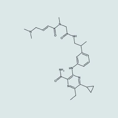 CCc1nc(C(N)=O)c(Nc2cccc(C(C)CNC(=O)CN(C)C(=O)/C=C/CN(C)C)c2)nc1C1CC1